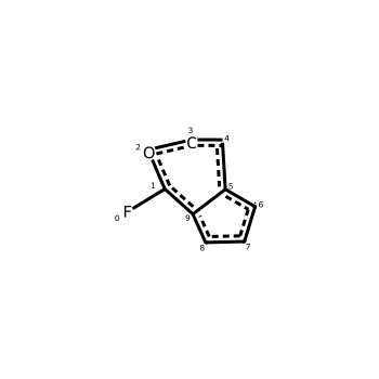 Fc1occc2[c]ccc1-2